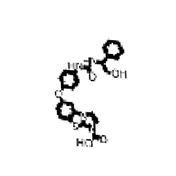 O=C(Nc1ccc(Oc2ccc3c(c2)N2C=CN(C(=O)O)C2S3)cc1)NC(CO)c1ccccc1